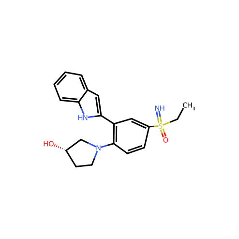 CCS(=N)(=O)c1ccc(N2CC[C@H](O)C2)c(-c2cc3ccccc3[nH]2)c1